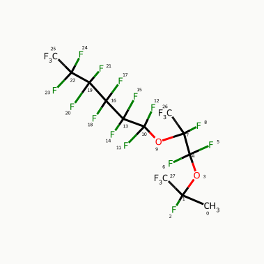 CC(F)(OC(F)(F)C(F)(OC(F)(F)C(F)(F)C(F)(F)C(F)(F)C(F)(F)C(F)(F)F)C(F)(F)F)C(F)(F)F